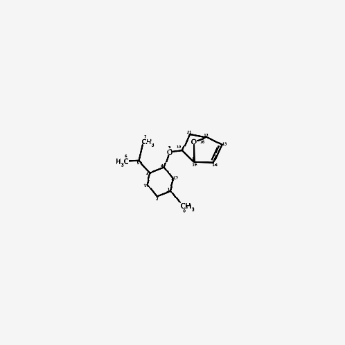 CC1CCC(C(C)C)C(OC2CC3C=CC2O3)C1